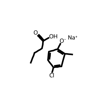 CCCC(=O)O.Cc1cc(Cl)ccc1[O-].[Na+]